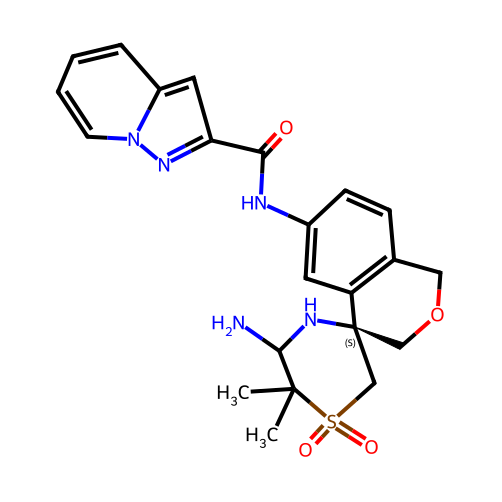 CC1(C)C(N)N[C@@]2(COCc3ccc(NC(=O)c4cc5ccccn5n4)cc32)CS1(=O)=O